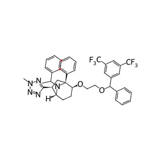 CC(c1ccccc1)N1[C@@H]2CC[C@H](OCCOC(c3ccccc3)c3cc(C(F)(F)F)cc(C(F)(F)F)c3)[C@@]1(c1ccccc1)C[C@@H]2c1nnn(C)n1